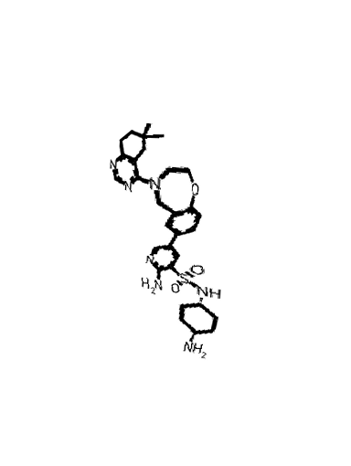 CC1(C)CCc2ncnc(N3CCOc4ccc(-c5cnc(N)c(S(=O)(=O)N[C@H]6CC[C@H](N)CC6)c5)cc4C3)c2C1